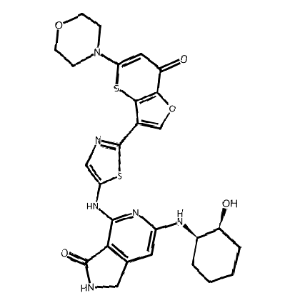 O=C1NCc2cc(N[C@@H]3CCCC[C@@H]3O)nc(Nc3cnc(-c4coc5c(=O)cc(N6CCOCC6)sc45)s3)c21